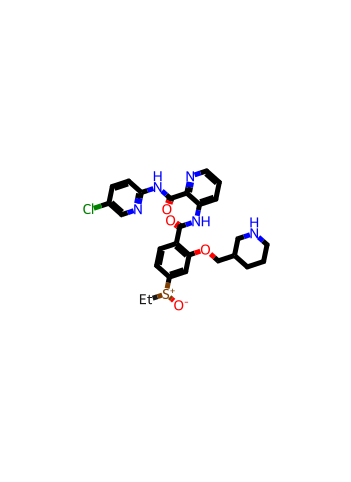 CC[S+]([O-])c1ccc(C(=O)Nc2cccnc2C(=O)Nc2ccc(Cl)cn2)c(OCC2CCCNC2)c1